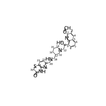 COc1ccc2cccc(C(O)CN3CCCC(CNCc4ccc5c(n4)NC(=O)CS5)C3)c2n1